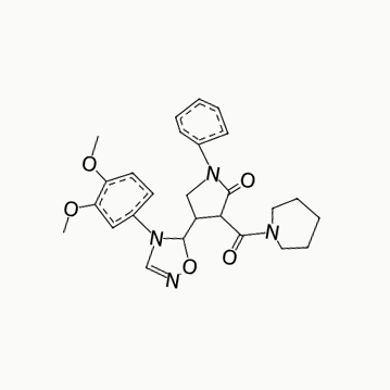 COc1ccc(N2C=NOC2C2CN(c3ccccc3)C(=O)C2C(=O)N2CCCCC2)cc1OC